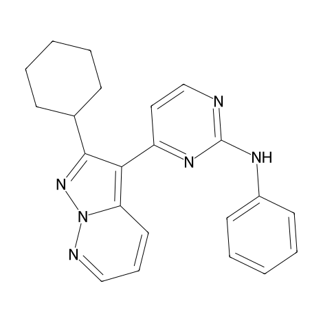 c1ccc(Nc2nccc(-c3c(C4CCCCC4)nn4ncccc34)n2)cc1